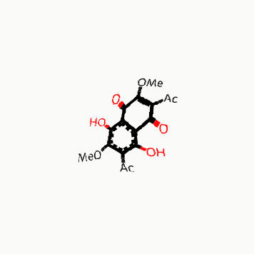 COC1=C(C(C)=O)C(=O)c2c(O)c(C(C)=O)c(OC)c(O)c2C1=O